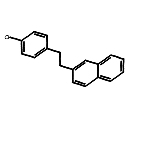 Clc1ccc(CCc2ccc3ccccc3c2)cc1